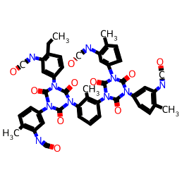 CCc1ccc(-n2c(=O)n(-c3ccc(C)c(N=C=O)c3)c(=O)n(-c3cccc(-n4c(=O)n(-c5ccc(C)c(N=C=O)c5)c(=O)n(-c5ccc(C)c(N=C=O)c5)c4=O)c3C)c2=O)cc1N=C=O